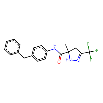 CC1(C(=O)Nc2ccc(Cc3ccccc3)cc2)CC(C(F)(F)F)=NN1